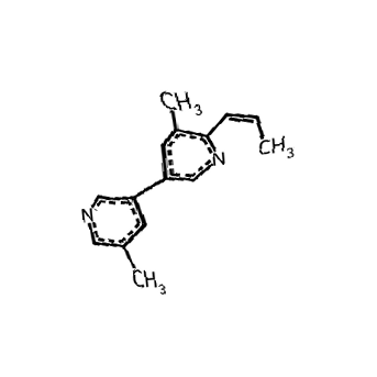 C/C=C\c1ncc(-c2cncc(C)c2)cc1C